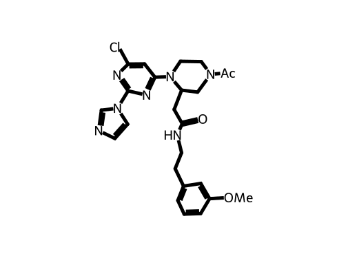 COc1cccc(CCNC(=O)CC2CN(C(C)=O)CCN2c2cc(Cl)nc(-n3ccnc3)n2)c1